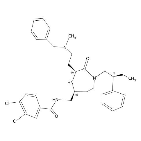 CC[C@H](CN1CC[C@@H](CNC(=O)c2ccc(Cl)c(Cl)c2)N[C@@H](CCN(C)Cc2ccccc2)C1=O)c1ccccc1